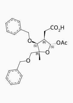 CC(=O)O[C@@H]1O[C@](C)(COCc2ccccc2)[C@@H](OCc2ccccc2)[C@H]1CC(=O)O